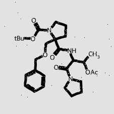 CC(=O)OC(C)C(NC(=O)C1(COCc2ccccc2)CCCN1C(=O)OC(C)(C)C)C(=O)N1CCCC1